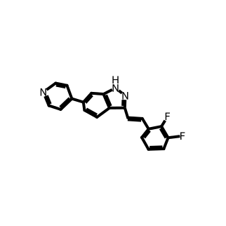 Fc1cccc(/C=C/c2n[nH]c3cc(-c4ccncc4)ccc23)c1F